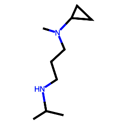 CC(C)NCCCN(C)C1CC1